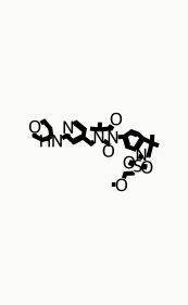 COCCS(=O)(=O)N1CC(C)(C)c2ccc(N3C(=O)N(Cc4ccnc(NC5CCOCC5)c4)C(C)(C)C3=O)cc21